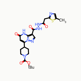 Cc1cnc(CC(=O)NNC(=O)c2cnn3c(C4CCN(C(=O)OC(C)(C)C)CC4)cc(=O)[nH]c23)s1